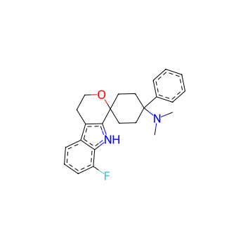 CN(C)C1(c2ccccc2)CCC2(CC1)OCCc1c2[nH]c2c(F)cccc12